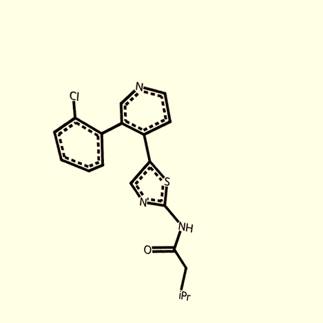 CC(C)CC(=O)Nc1ncc(-c2ccncc2-c2ccccc2Cl)s1